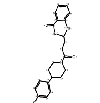 O=C1NC(CCC(=O)N2CCC(c3ccc(F)cc3)CC2)Nc2ccccc21